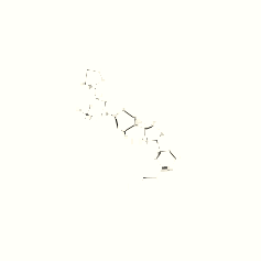 CC(C)Cc1cc(C2NC(c3ccc(N(CCN4CCCC4)SC(F)(F)F)cc3Cl)=CS2)ccn1